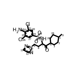 CC1CCC(C(=O)C(CCn2nccn2)NS(=O)(=O)c2cc(Cl)c(N)c(Cl)c2)CC1